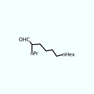 CCCCCCCCCCC(C=O)CCC